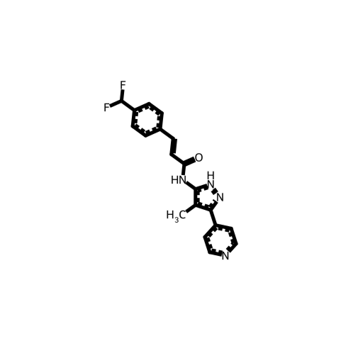 Cc1c(-c2ccncc2)n[nH]c1NC(=O)C=Cc1ccc(C(F)F)cc1